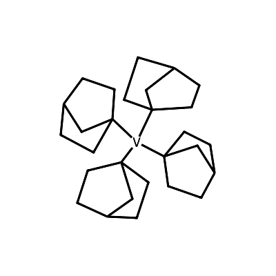 C1C[C]2([V]([C]34CCC(CC3)C4)([C]34CCC(CC3)C4)[C]34CCC(CC3)C4)CCC1C2